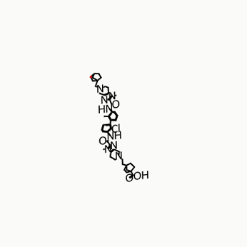 Cc1c(NC(=O)c2nc3c(n2C)CCN(CC24CCC(CC2)C4)C3)cccc1-c1cccc(NC(=O)c2nc3c(n2C)CCN(CCC24CCC(C(=O)O)(CC2)C4)C3)c1Cl